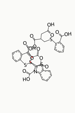 O=C(O)CC(CSc1ccccc1C(=O)O)C(=O)OC(=O)CC(Sc1nc2ccccc2s1)C(=O)OC(=O)C(CSc1ccccc1C(=O)O)CC(=O)O